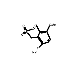 COc1ccc(F)c(CS(=O)(=O)[O-])c1Cl.[Na+]